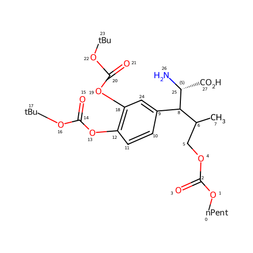 CCCCCOC(=O)OCC(C)C(c1ccc(OC(=O)OC(C)(C)C)c(OC(=O)OC(C)(C)C)c1)[C@H](N)C(=O)O